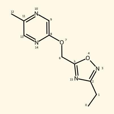 CCc1noc(COc2cnc(C)cn2)n1